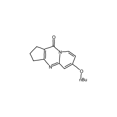 CCCCOc1ccn2c(=O)c3c(nc2c1)CCC3